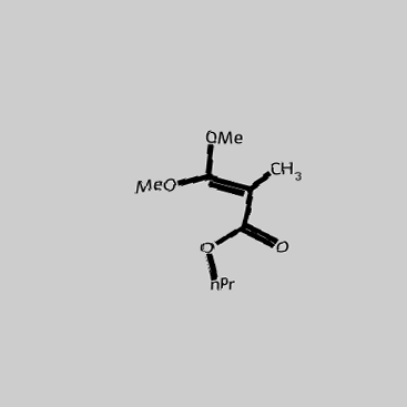 [CH2]CCOC(=O)C(C)=C(OC)OC